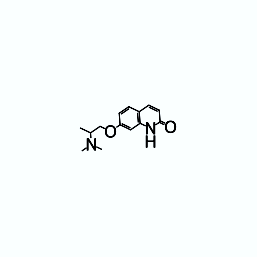 CC(COc1ccc2ccc(=O)[nH]c2c1)N(C)C